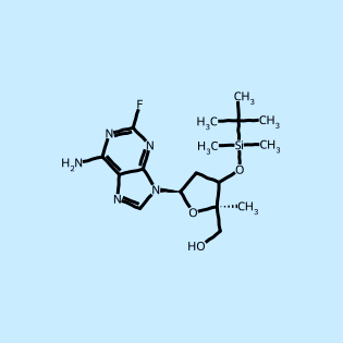 CC(C)(C)[Si](C)(C)OC1C[C@H](n2cnc3c(N)nc(F)nc32)O[C@]1(C)CO